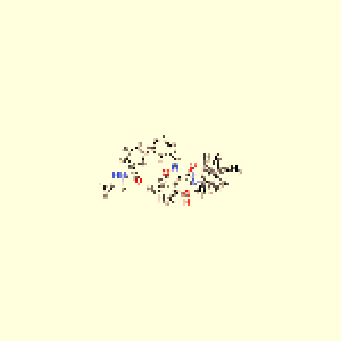 C[C@@H]1[C@@H](NC(=O)[C@@H]2[C@H]([C@H](C)O)[C@H](C)ON2Cc2cccc(-c3cccc(C(=O)NCC4CC4)c3)c2)C[C@H]2C[C@@H]1C2(C)C